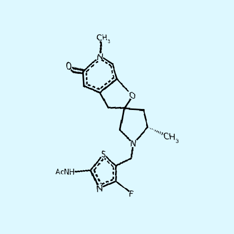 CC(=O)Nc1nc(F)c(CN2CC3(Cc4cc(=O)n(C)cc4O3)C[C@@H]2C)s1